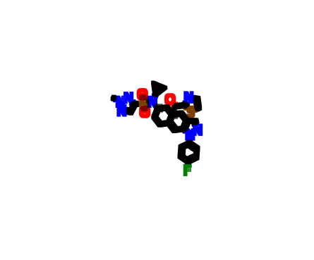 Cn1ncc(S(=O)(=O)N(C2CC2)[C@H]2CCC3=Cc4c(cnn4-c4ccc(F)cc4)C[C@]3(C(=O)c3nccs3)C2)n1